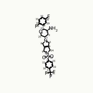 N[C@H]1C[C@@H](N2CC3=C(C2)CN(S(=O)(=O)c2ccc(C(F)(F)F)cc2)C3)CO[C@@H]1c1cc(F)ccc1F